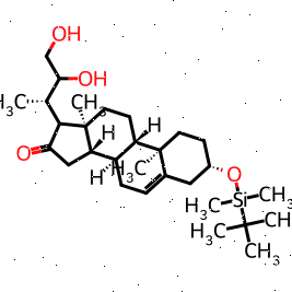 C[C@H](C(O)CO)C1C(=O)C[C@H]2[C@@H]3CC=C4C[C@@H](O[Si](C)(C)C(C)(C)C)CC[C@]4(C)[C@H]3CC[C@]12C